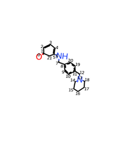 O=C1C=CC=C(NCc2ccc(CN3CCCCC3)cc2)C1